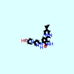 O=C1NCc2c(-c3cnc4cc(C5CC5)ccn34)ccc(Nc3ccc(N4CCC(O)CC4)cn3)c21